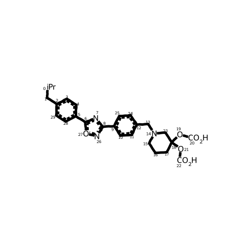 CC(C)Cc1ccc(-c2nc(-c3ccc(CN4CCCC(OC(=O)O)(OC(=O)O)C4)cc3)no2)cc1